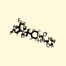 Cn1cc(S(=O)(=O)C(C)(C)C2CCN(C(=O)Nc3nnco3)CC2)c(C(F)F)n1